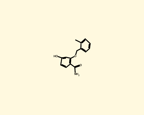 Cc1ccccc1COc1cc(O)ccc1C(N)=O